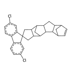 Clc1ccc2c(c1)C1(CC3C(C1)C1CC3C3CC4C5C=CC(C5)C4C13)c1cc(Cl)ccc1-2